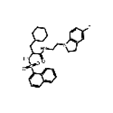 O=C(NCCN1CCc2cc(F)ccc21)C(CC1CCCCC1)NS(=O)(=O)c1cccc2ccccc12